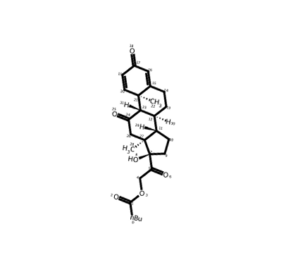 CCCCC(=O)OCC(=O)[C@@]1(O)CC[C@H]2[C@@H]3CCC4=CC(=O)C=C[C@]4(C)[C@H]3C(=O)C[C@@]21C